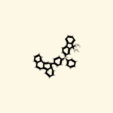 CC1(C)c2ccccc2-c2ccc(N(c3ccccc3)c3ccc(-c4cc5c6ccccc6ccc5c5ccccc45)cc3)cc21